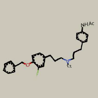 CCN(CCCc1ccc(NC(C)=O)cc1)CCCc1ccc(OCc2ccccc2)c(F)c1